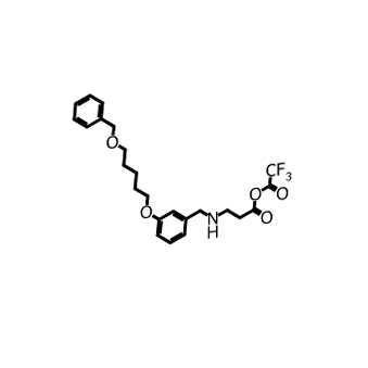 O=C(CCNCc1cccc(OCCCCCOCc2ccccc2)c1)OC(=O)C(F)(F)F